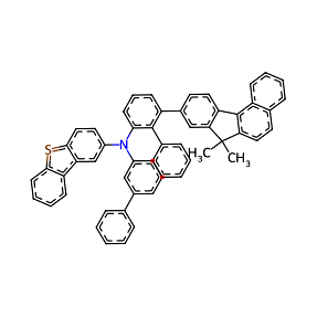 CC1(C)c2cc(-c3cccc(N(c4cccc(-c5ccccc5)c4)c4ccc5sc6ccccc6c5c4)c3-c3ccccc3)ccc2-c2c1ccc1ccccc21